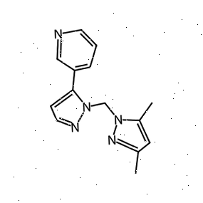 Cc1cc(C)n(Cn2nccc2-c2cccnc2)n1